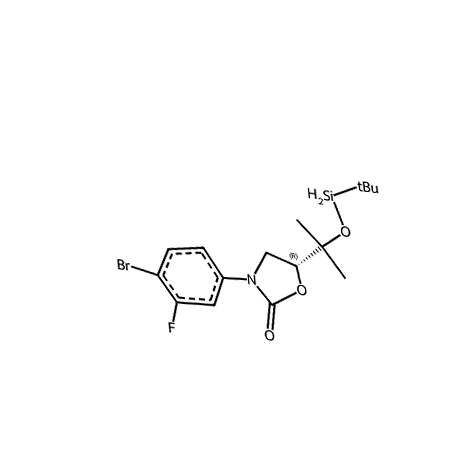 CC(C)(C)[SiH2]OC(C)(C)[C@H]1CN(c2ccc(Br)c(F)c2)C(=O)O1